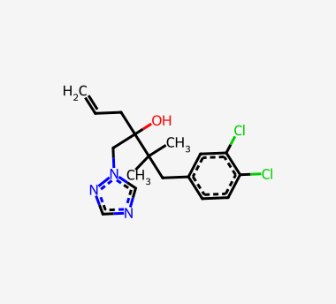 C=CCC(O)(Cn1cncn1)C(C)(C)Cc1ccc(Cl)c(Cl)c1